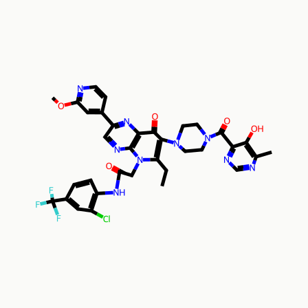 CCc1c(N2CCN(C(=O)c3ncnc(C)c3O)CC2)c(=O)c2nc(-c3ccnc(OC)c3)cnc2n1CC(=O)Nc1ccc(C(F)(F)F)cc1Cl